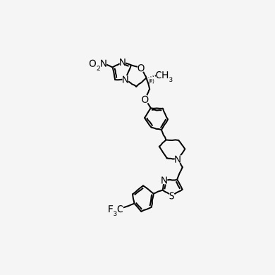 C[C@]1(COc2ccc(C3CCN(Cc4csc(-c5ccc(C(F)(F)F)cc5)n4)CC3)cc2)Cn2cc([N+](=O)[O-])nc2O1